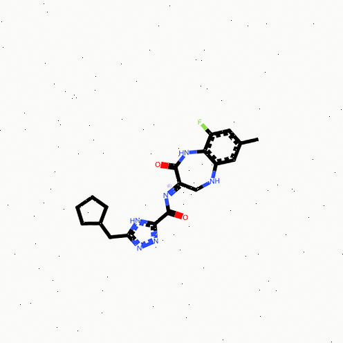 Cc1cc(F)c2c(c1)NC/C(=N\C(=O)c1nnc(CC3CCCC3)[nH]1)C(=O)N2